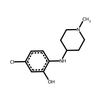 CN1CCC(Nc2ccc(Cl)cc2O)CC1